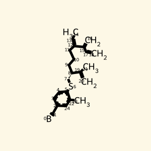 B#Cc1ccc(SC[C@H](CCC/C(=C/C)C(=C)C=C)C(=C)C)c(C)c1